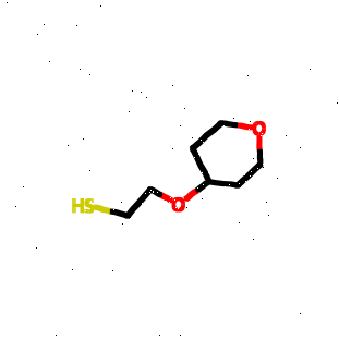 SCCOC1CCOCC1